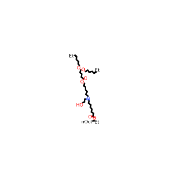 CC/C=C\CCCCOC(CCCC(=O)OCCCCCCCN(CCCO)CCCCCCCC(=O)OC(CC)CCCCCCCC)OCCCC/C=C\CC